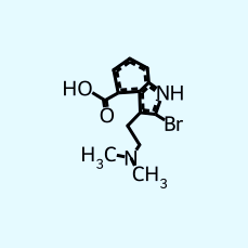 CN(C)CCc1c(Br)[nH]c2cccc(C(=O)O)c12